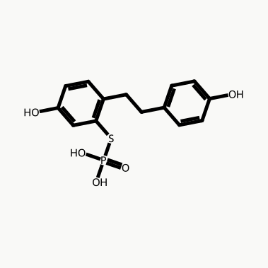 O=P(O)(O)Sc1cc(O)ccc1CCc1ccc(O)cc1